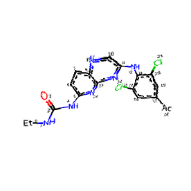 CCNC(=O)Nc1ccc2ncc(Nc3c(Cl)cc(C(C)=O)cc3Cl)nc2n1